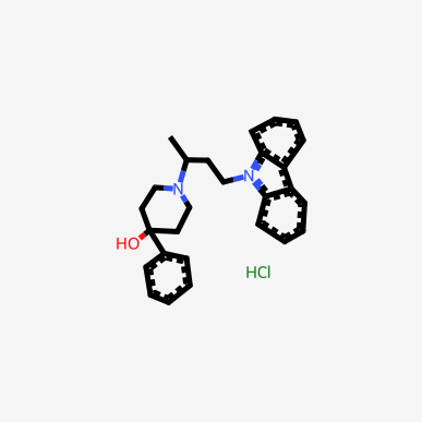 CC(CCn1c2ccccc2c2ccccc21)N1CCC(O)(c2ccccc2)CC1.Cl